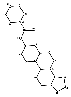 O=C(OC1CCC2C(CCC3C4CCCC4CCC23)C1)N1CCOCC1